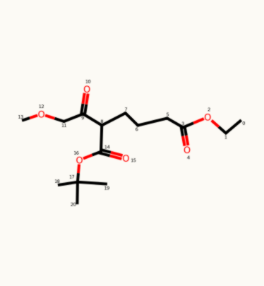 CCOC(=O)CCCC(C(=O)COC)C(=O)OC(C)(C)C